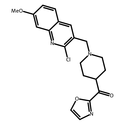 COc1ccc2cc(CN3CCC(C(=O)c4ncco4)CC3)c(Cl)nc2c1